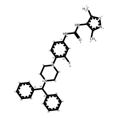 Cc1noc(C)c1NC(=O)Nc1ccc(N2CCN(C(c3ccccc3)c3ccccc3)CC2)c(F)c1